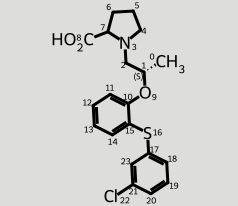 C[C@@H](CN1CCCC1C(=O)O)Oc1ccccc1Sc1cccc(Cl)c1